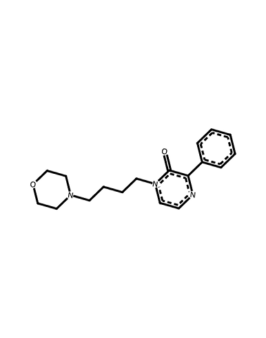 O=c1c(-c2ccccc2)nccn1CCCCN1CCOCC1